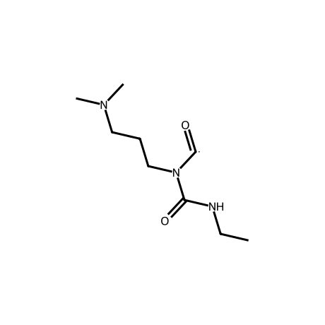 CCNC(=O)N([C]=O)CCCN(C)C